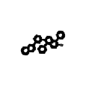 Brc1ccc2c(-c3ccccc3)c(-c3cccc(-c4ccc5ccccc5c4)c3)ccc2c1-c1ccccc1